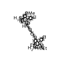 CCNC(=O)C[C@@H]1N=C(c2ccc(Cl)cc2)c2cc(OCCOCCOCCNC(=O)C[C@@H]3N=C(c4ccc(Cl)cc4)c4cc(OC)ccc4-n4c(C)nnc43)ccc2N(CC)/C1=N\N